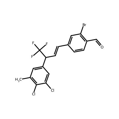 Cc1cc(C(/C=C/c2ccc(C=O)c(Br)c2)C(F)(F)F)cc(Cl)c1Cl